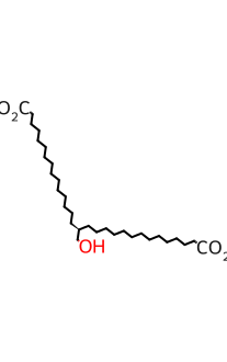 O=C(O)CCCCCCCCCCCCCC[C@H](CO)CCCCCCCCCCCCCC(=O)O